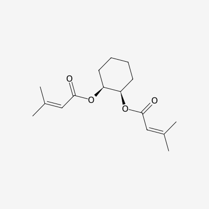 CC(C)=CC(=O)O[C@H]1CCCC[C@H]1OC(=O)C=C(C)C